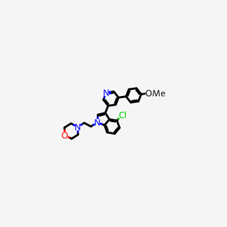 COc1ccc(-c2cncc(-c3cn(CCN4CCOCC4)c4cccc(Cl)c34)c2)cc1